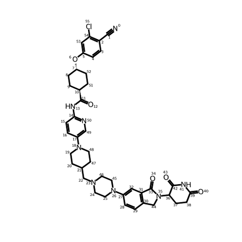 N#Cc1ccc(O[C@H]2CC[C@H](C(=O)Nc3ccc(N4CCC(CN5CCN(c6ccc7c(c6)C(=O)N(C6CCC(=O)NC6=O)C7)CC5)CC4)cn3)CC2)cc1Cl